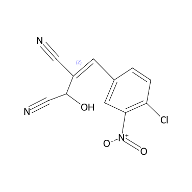 N#C/C(=C/c1ccc(Cl)c([N+](=O)[O-])c1)C(O)C#N